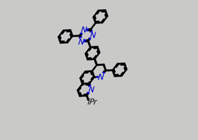 CC(C)c1ccc2ccc3c(c2n1)N=C(c1ccccc1)CC3c1ccc(-c2nc(-c3ccccc3)nc(-c3ccccc3)n2)cc1